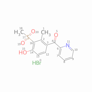 Br.Cc1c(C(=O)c2ccccn2)ccc(O)c1S(C)(=O)=O